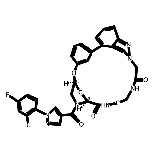 O=C1Cn2cc3c(cccc3n2)-c2cccc(c2)O[C@H]2C[C@@H](C(=O)NCCN1)N(C(=O)c1cnn(-c3ccc(F)cc3Cl)c1)C2